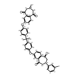 Cc1cccc(N2CC(=O)c3ccc(Oc4ccc(C(C)(C)c5ccc(Oc6ccc7c(c6)C(=O)CN(C)CC7=O)cc5)cc4)cc3C(=O)C2)c1